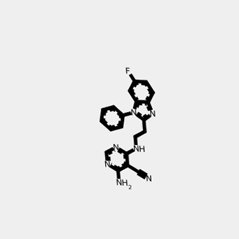 N#Cc1c(N)ncnc1NCCc1nc2ccc(F)cc2n1-c1ccccc1